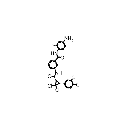 Cc1cc(N)ccc1NC(=O)c1cccc(NC(=O)[C@H]2[C@H](c3ccc(Cl)c(Cl)c3)C2(Cl)Cl)c1